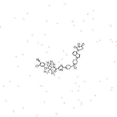 CC1(C)[C@H](NC(=O)c2cnc(N3CCC(C(=O)N4CCC(n5ccc6c(N7CCC(=O)NC7=O)cccc65)CC4)CC3)nc2)C(C)(C)[C@H]1Oc1ccc(C#N)c(Cl)c1